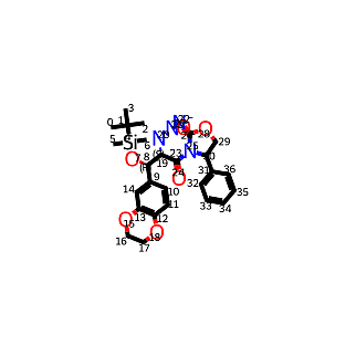 CC(C)(C)[Si](C)(C)O[C@H](c1ccc2c(c1)OCCO2)[C@H](N=[N+]=[N-])C(=O)N1C(=O)OCC1c1ccccc1